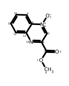 COC(=O)c1c[n+]([O-])c2ccccc2n1